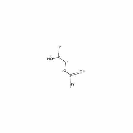 C[C](C)C(=O)OCC(C)O